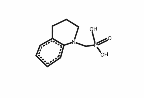 O=P(O)(O)CN1CCCc2ccccc21